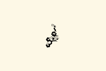 CCOCC[N+]12CCC(CC1)[C@@H](OC(=O)NC(Cc1ccco1)c1cccs1)C2.O=C[O-]